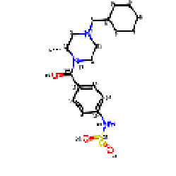 C[C@@H]1CN(CC2CCCCC2)CCN1C(=O)c1ccc(N[SH](=O)=O)cc1